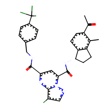 CC(=O)c1ccc2c(c1C)CC[C@@H]2NC(=O)c1cc(C(=O)NCc2ccc(C(F)(F)F)cc2)nc2c(F)cnn12